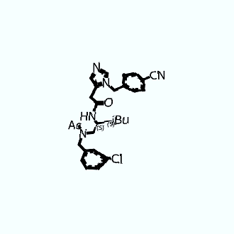 CC[C@H](C)[C@@H](CN(Cc1cccc(Cl)c1)C(C)=O)NC(=O)Cc1cncn1Cc1ccc(C#N)cc1